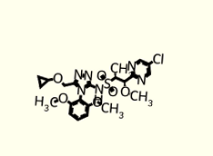 COc1cccc(OC)c1-n1c(COC2CC2)nnc1NS(=O)(=O)[C@@H](C)[C@H](OC)c1ncc(Cl)cn1